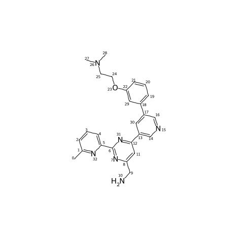 Cc1cccc(-c2nc(CN)cc(-c3cncc(-c4cccc(OCCN(C)C)c4)c3)n2)n1